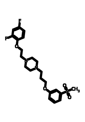 CS(=O)(=O)c1cccc(OCCCN2CCN(CCOc3ccc(F)cc3F)CC2)c1